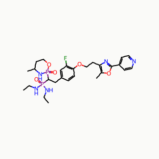 CCNP(=O)(NCC)C(Cc1ccc(OCCc2nc(-c3ccncc3)oc2C)c(F)c1)P1(=O)NC(C)CCO1